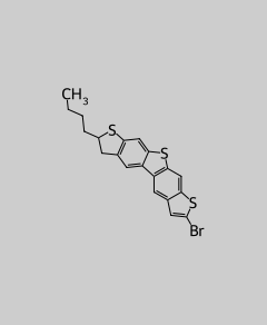 CCCCC1Cc2cc3c(cc2S1)sc1cc2sc(Br)cc2cc13